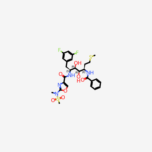 CSCC[C@@H](NC(=O)c1ccccc1)[C@@H](O)[C@H](O)[C@H](Cc1cc(F)cc(F)c1)NC(=O)c1coc(N(C)S(C)(=O)=O)n1